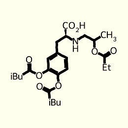 CCC(=O)OC(C)CN[C@@H](Cc1ccc(OC(=O)C(C)CC)c(OC(=O)C(C)CC)c1)C(=O)O